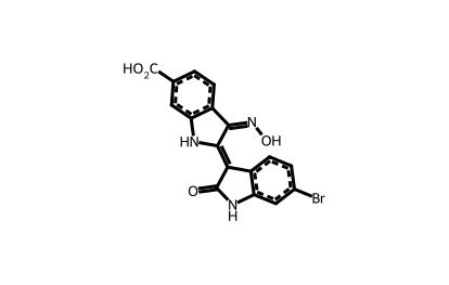 O=C1Nc2cc(Br)ccc2/C1=C1/Nc2cc(C(=O)O)ccc2/C1=N/O